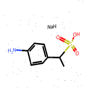 CC(c1ccc(N)cc1)S(=O)(=O)O.[NaH]